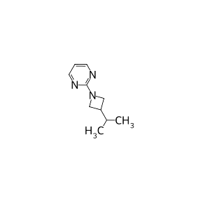 CC(C)C1CN(c2ncccn2)C1